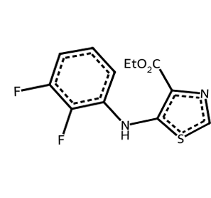 CCOC(=O)c1ncsc1Nc1cccc(F)c1F